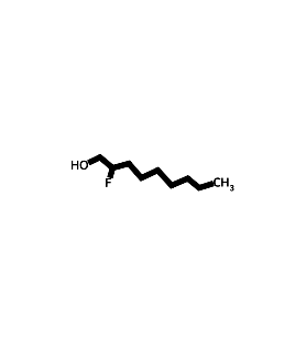 CCCCCCCC(F)CO